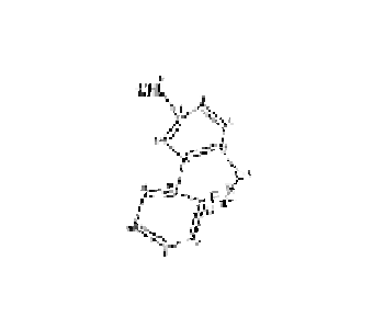 O=Cc1ccc(OC(F)(F)F)c(-c2ccccc2)c1